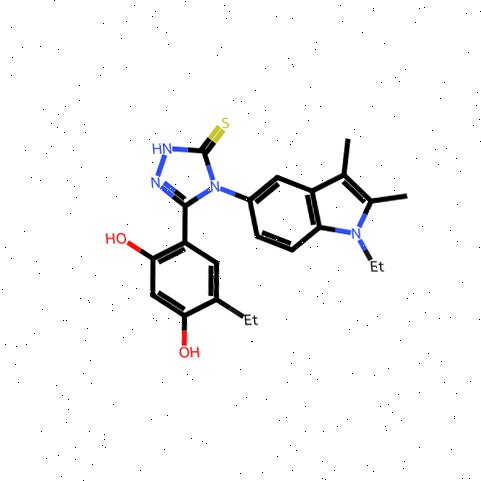 CCc1cc(-c2n[nH]c(=S)n2-c2ccc3c(c2)c(C)c(C)n3CC)c(O)cc1O